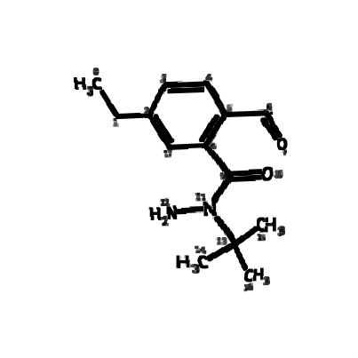 CCc1ccc([C]=O)c(C(=O)N(N)C(C)(C)C)c1